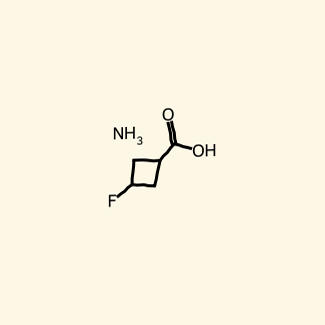 N.O=C(O)C1CC(F)C1